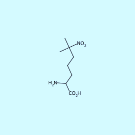 CC(C)(CCCC(N)C(=O)O)[N+](=O)[O-]